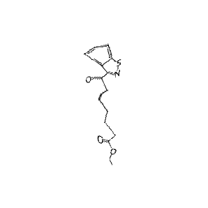 CCOC(=O)CCCCCC(=O)c1nsc2ccccc12